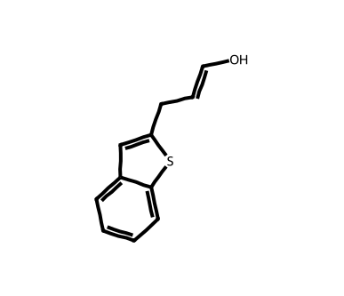 OC=CCc1cc2ccccc2s1